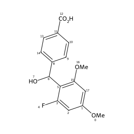 COc1cc(F)c(C(O)c2ccc(C(=O)O)cc2)c(OC)c1